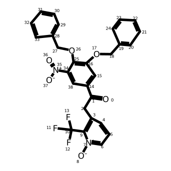 O=C(Cc1ccc[n+]([O-])c1C(F)(F)F)c1cc(OCc2ccccc2)c(OCc2ccccc2)c([N+](=O)[O-])c1